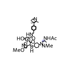 CNN(/C=C(\C)NC(C)=O)C1CCC(BC(C(=O)N2C[C@H](O)C[C@H]2C(=O)NCc2ccc(-c3scnc3C)cc2)c2cc(OC)no2)CC1